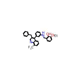 CCOc1cccc(CNc2cccc(-c3c(Cc4ccccc4)cnc4c(C(F)(F)F)cccc34)c2)c1O